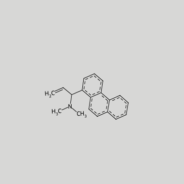 C=CC(c1cccc2c1ccc1ccccc12)N(C)C